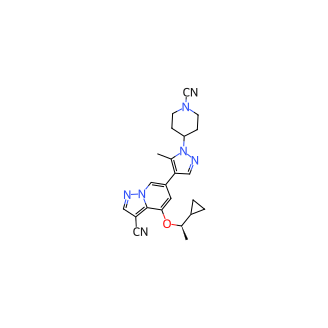 Cc1c(-c2cc(O[C@H](C)C3CC3)c3c(C#N)cnn3c2)cnn1C1CCN(C#N)CC1